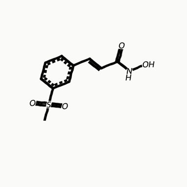 CS(=O)(=O)c1cccc(/C=C/C(=O)NO)c1